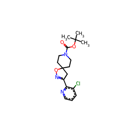 CC(C)(C)OC(=O)N1CCC2(CC1)CC(c1ncccc1Cl)=NO2